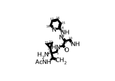 C=C(NC(C)=O)[C@](N)(CNC(=O)/C(C=N)=N/Nc1ccccn1)C1CC1